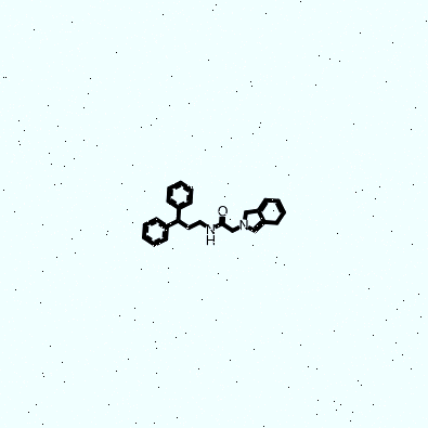 O=C(CN1C=C2CC=CC=C2C1)NCCC(c1ccccc1)c1ccccc1